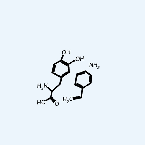 C=Cc1ccccc1.N.NC(Cc1ccc(O)c(O)c1)C(=O)O